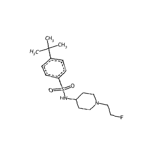 CC(C)(C)c1ccc(S(=O)(=O)NC2CCN(CCF)CC2)cc1